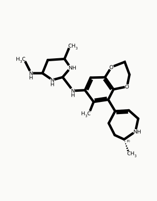 CNC1CC(C)NC(Nc2cc3c(c(C4=CCN[C@H](C)CC4)c2C)OCCO3)N1